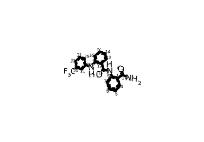 NC(=O)c1ccccc1NC(=O)c1ccccc1Nc1cccc(C(F)(F)F)c1